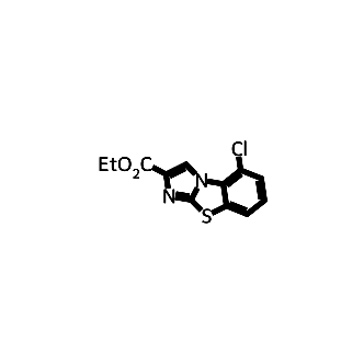 CCOC(=O)c1cn2c(n1)sc1cccc(Cl)c12